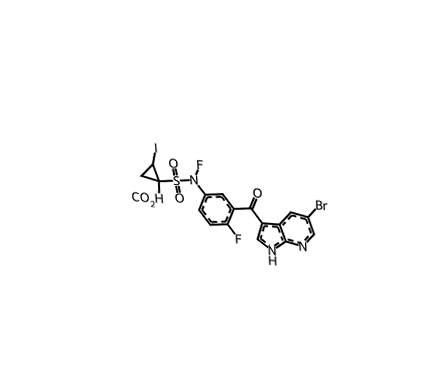 O=C(c1cc(N(F)S(=O)(=O)C2(C(=O)O)CC2I)ccc1F)c1c[nH]c2ncc(Br)cc12